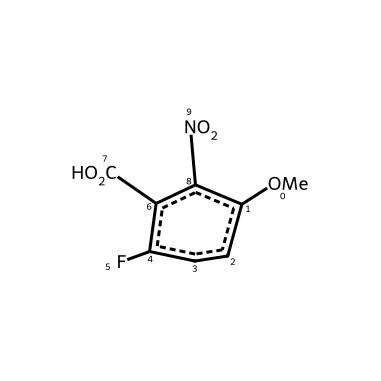 COc1ccc(F)c(C(=O)O)c1[N+](=O)[O-]